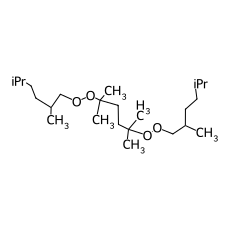 CC(C)CCC(C)COOC(C)(C)CCC(C)(C)OOCC(C)CCC(C)C